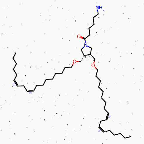 CCCCC/C=C\C/C=C\CCCCCCCCOC[C@@H]1CN(C(=O)CCCCCN)C[C@H]1COCCCCCCCC/C=C\C/C=C\CCCCC